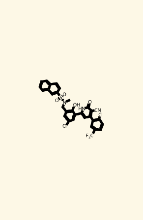 CN(Cc1cc(Cl)cc(-c2cc(-c3cc(C(F)(F)F)ccc3Cl)c(C#N)c(=O)[nH]2)c1O)S(=O)(=O)c1ccc2ccccc2c1